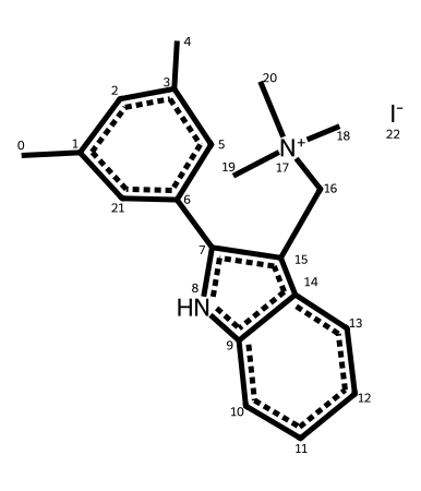 Cc1cc(C)cc(-c2[nH]c3ccccc3c2C[N+](C)(C)C)c1.[I-]